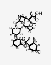 CC/C(=C(/C)C(=O)O)c1cnc(CN2CCC(c3cccc4c3OC(C)(c3ccc(Cl)cc3F)O4)CC2)n1CC1CCO1